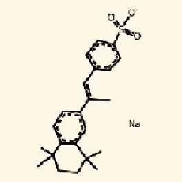 CC(=Cc1ccc(S(=O)(=O)[O-])cc1)c1ccc2c(c1)C(C)(C)CCC2(C)C.[Na+]